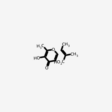 CC=C(C)C(=O)O.Cc1occc(=O)c1O